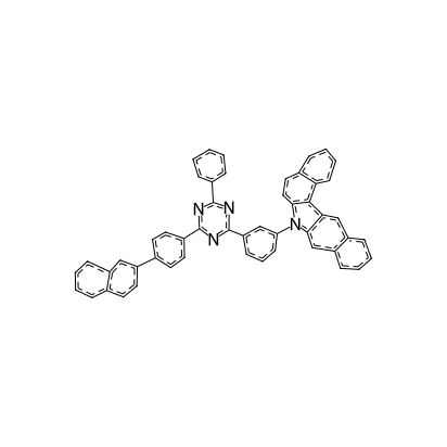 c1ccc(-c2nc(-c3ccc(-c4ccc5ccccc5c4)cc3)nc(-c3cccc(-n4c5cc6ccccc6cc5c5c6ccccc6ccc54)c3)n2)cc1